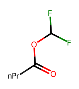 CCCC(=O)OC(F)F